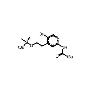 CC(C)(C)C(=O)Nc1cc(CCO[Si](C)(C)C(C)(C)C)c(Br)cn1